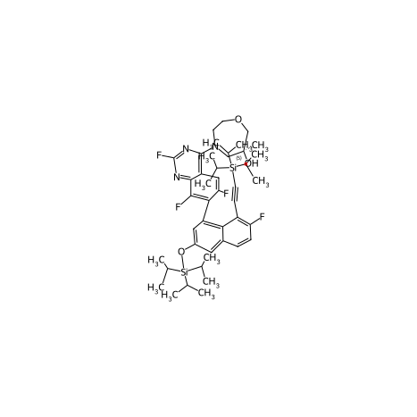 CC(C)[Si](C#Cc1c(F)ccc2cc(O[Si](C(C)C)(C(C)C)C(C)C)cc(-c3c(F)cc4c(N5CCOC[C@@](C)(O)C5)nc(F)nc4c3F)c12)(C(C)C)C(C)C